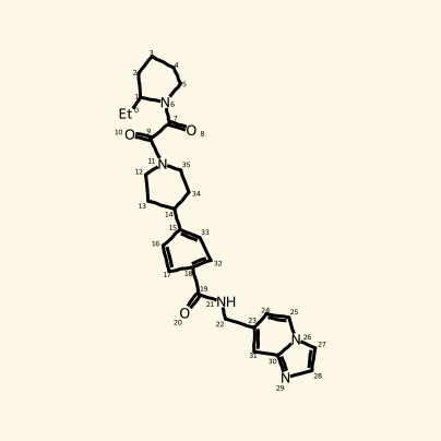 CCC1CCCCN1C(=O)C(=O)N1CCC(c2ccc(C(=O)NCc3ccn4ccnc4c3)cc2)CC1